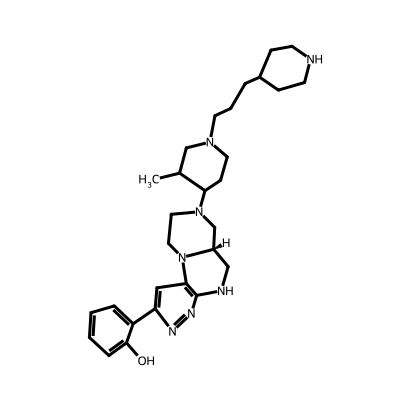 CC1CN(CCCC2CCNCC2)CCC1N1CCN2c3cc(-c4ccccc4O)nnc3NC[C@H]2C1